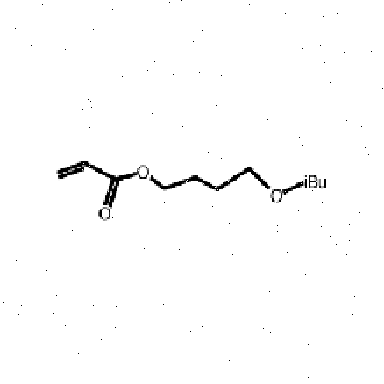 C=CC(=O)OCCCCOC(C)CC